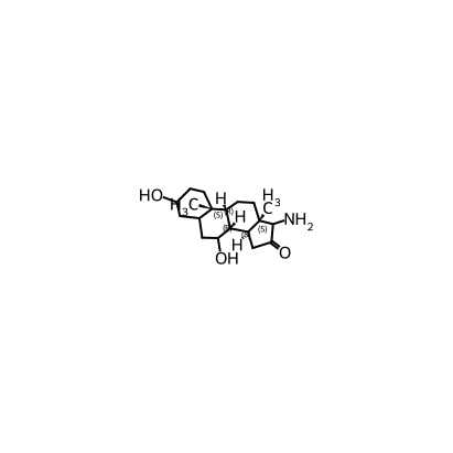 C[C@]12CCC(O)CC1CC(O)[C@@H]1[C@H]2CC[C@]2(C)C(N)C(=O)C[C@@H]12